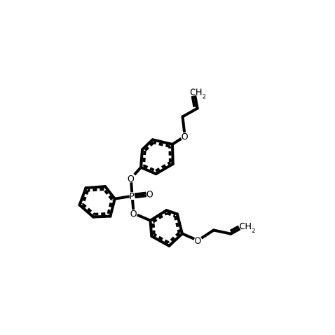 C=CCOc1ccc(OP(=O)(Oc2ccc(OCC=C)cc2)c2ccccc2)cc1